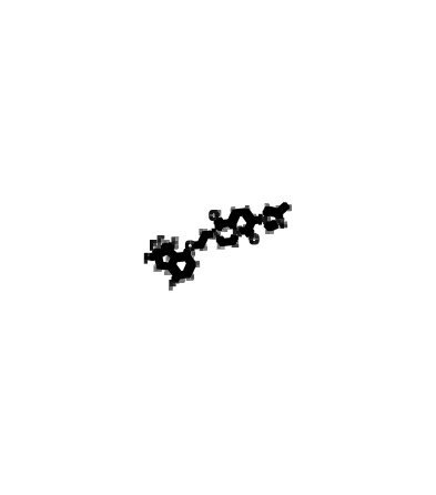 Cc1cn(-c2ccc3n(c2=O)CCN(CCOc2ccc(F)c4c2C(F)(F)C(F)(F)C4)C3=O)cn1